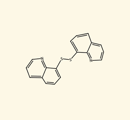 c1cnc2c(SSc3cccc4cccnc34)cccc2c1